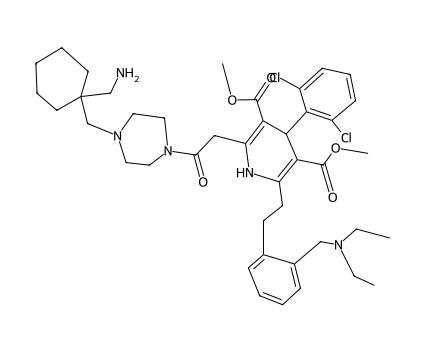 CCN(CC)Cc1ccccc1CCC1=C(C(=O)OC)C(c2c(Cl)cccc2Cl)C(C(=O)OC)=C(CC(=O)N2CCN(CC3(CN)CCCCC3)CC2)N1